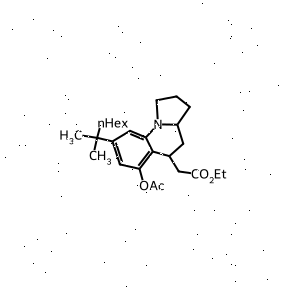 CCCCCCC(C)(C)c1cc(OC(C)=O)c2c(c1)N1CCCC1CC2CC(=O)OCC